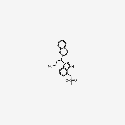 CS(=O)(=O)Cc1cccc2c(C(CCC#N)c3ccc4ccccc4c3)c[nH]c12